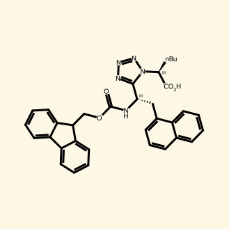 CCCC[C@@H](C(=O)O)n1nnnc1[C@H](Cc1cccc2ccccc12)NC(=O)OCC1c2ccccc2-c2ccccc21